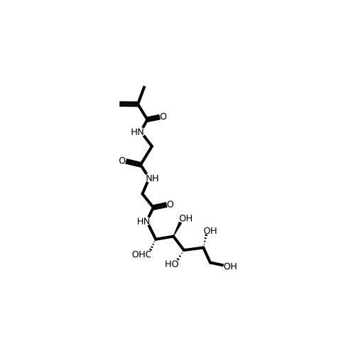 C=C(C)C(=O)NCC(=O)NCC(=O)N[C@@H](C=O)[C@@H](O)[C@@H](O)[C@H](O)CO